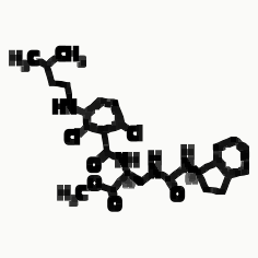 COC(=O)[C@H](CNC(=O)N[C@@H]1CCc2ccccc21)NC(=O)c1c(Cl)ccc(NCCC(C)C)c1Cl